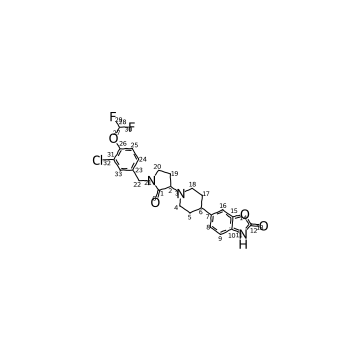 O=C1C(N2CCC(c3ccc4[nH]c(=O)oc4c3)CC2)CCN1Cc1ccc(OC(F)F)c(Cl)c1